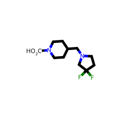 O=C(O)N1CCC(CN2CCC(F)(F)C2)CC1